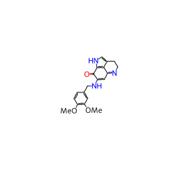 COc1ccc(CNC2=CC3=NCCc4c[nH]c(c43)C2=O)cc1OC